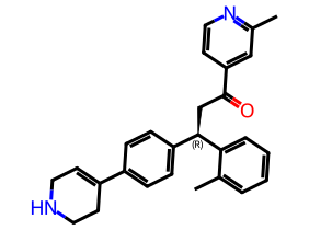 Cc1cc(C(=O)C[C@H](c2ccc(C3=CCNCC3)cc2)c2ccccc2C)ccn1